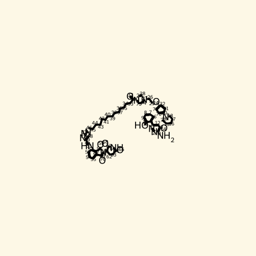 Nc1nnc(-c2ccccc2O)cc1OC1CCCN(c2ccc(OCCN3CCN(C(=O)CCCCCCCCCCCCCCn4cc(CNc5cccc6c5C(=O)N(C5CCC(=O)NC5=O)C6=O)nn4)CC3)cc2)C1